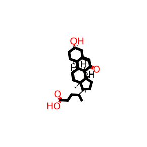 CC(CCC(=O)O)[C@H]1CC[C@H]2[C@@H]3C(=O)C=C4C[C@@H](O)CC[C@]4(C)[C@H]3CC[C@]12C